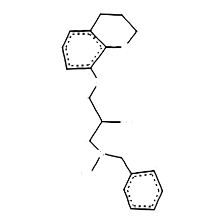 CC(C)(C)N(Cc1ccccc1)CC(O)COc1cccc2c1SCCC2